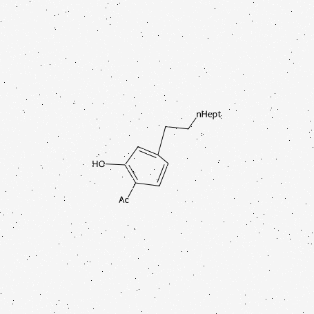 CCCCCCCCCc1ccc(C(C)=O)c(O)c1